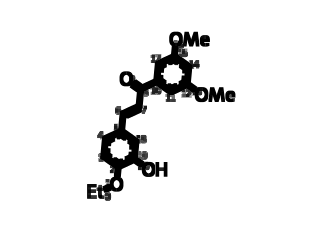 CCOc1ccc(C=CC(=O)c2cc(OC)cc(OC)c2)cc1O